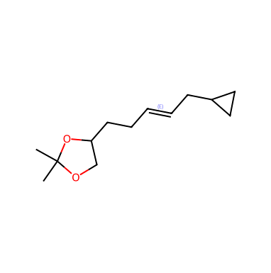 CC1(C)OCC(CC/C=C/CC2CC2)O1